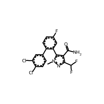 Cn1nc(C(F)F)c(C(N)=O)c1-c1cc(F)ccc1-c1ccc(Cl)c(Cl)c1